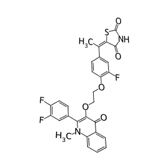 C/C(=C1\SC(=O)NC1=O)c1ccc(OCCOc2c(-c3ccc(F)c(F)c3)n(C)c3ccccc3c2=O)c(F)c1